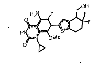 COC1=c2c(c(=O)[nH]c(=O)n2C2CC2)=C(N)C(F)C1c1cc2c(s1)CCC(F)(F)C2CO